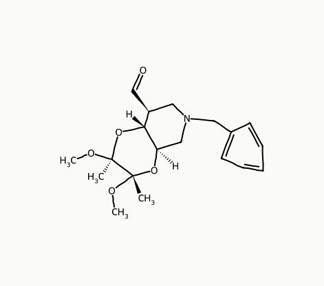 CO[C@@]1(C)O[C@@H]2[C@@H](C=O)CN(Cc3ccccc3)C[C@H]2O[C@]1(C)OC